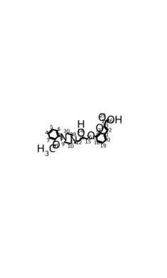 COc1ccccc1N1CCN(CC(O)COc2cccc3cc(C(=O)O)oc23)CC1